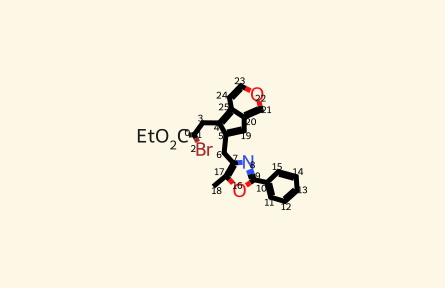 CCOC(=O)C(Br)Cc1c(Cc2nc(-c3ccccc3)oc2C)cc2coccc1-2